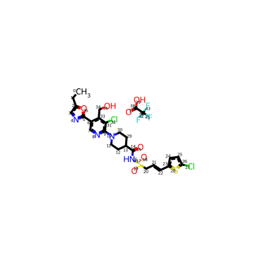 CCc1cnc(-c2cnc(N3CCC(C(=O)NS(=O)(=O)CC=Cc4ccc(Cl)s4)CC3)c(Cl)c2CO)o1.O=C(O)C(F)(F)F